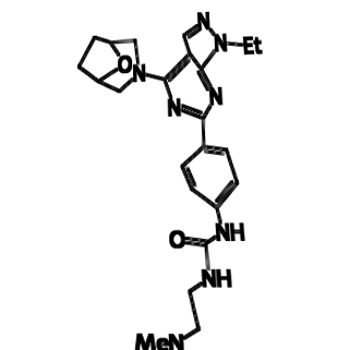 CCn1ncc2c(N3CC4CCC(C3)O4)nc(-c3ccc(NC(=O)NCCNC)cc3)nc21